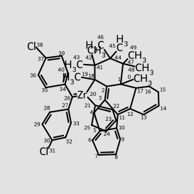 CC12C(=C3Cc4ccccc4C3=C3C=CCCC31)[C](C)([Zr]([C]1=CC=CC1)=[C](c1ccc(Cl)cc1)c1ccc(Cl)cc1)C(C)(C)C(C)(C)C2(C)C